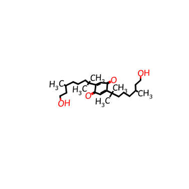 CC(CCO)CCCC(C)(C)C1=CC(=O)C(C(C)(C)CCCC(C)CCO)=CC1=O